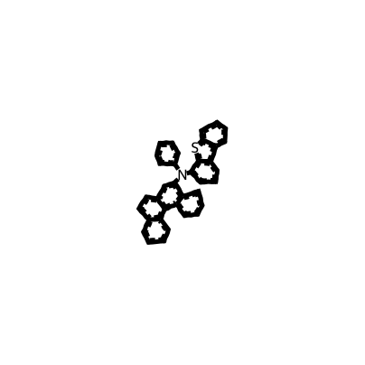 c1ccc(N(c2cc3ccc4ccccc4c3c3ccccc23)c2cccc3c2sc2ccccc23)cc1